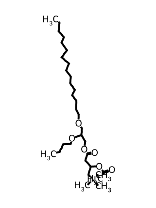 CCCCCCCCCCCCCCCCOCC(COC(=O)CC(C[N+](C)(C)C)OC(C)=O)OCCCC